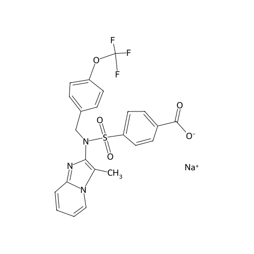 Cc1c(N(Cc2ccc(OC(F)(F)F)cc2)S(=O)(=O)c2ccc(C(=O)[O-])cc2)nc2ccccn12.[Na+]